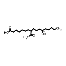 CCCCC[C@@H](O)CCCC(CCCCCCC(=O)O)C(C)=O